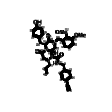 C#Cc1ccc(CNC(=O)N2[C@H]3CN(Cc4cccc(OC)c4OC)C(=O)[C@H](Cc4ccc(O)cc4)N3C(=O)CN2CC=C)cc1